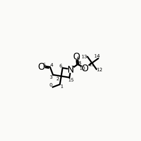 CCC1(CC=O)CN(C(=O)OC(C)(C)C)C1